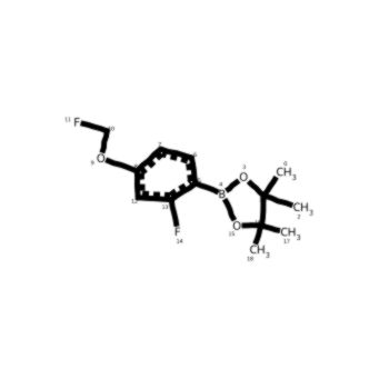 CC1(C)OB(c2ccc(OCF)cc2F)OC1(C)C